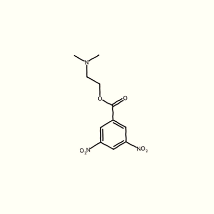 CN(C)CCOC(=O)c1cc([N+](=O)[O-])cc([N+](=O)[O-])c1